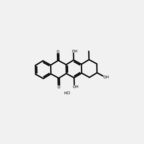 CC1CC(O)Cc2c(O)c3c(c(O)c21)C(=O)c1ccccc1C3=O.Cl